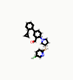 O=Cc1cc(-c2ccccc2C2CC2)ccc1N1CC[C@H](Sc2ccc(F)cn2)C1